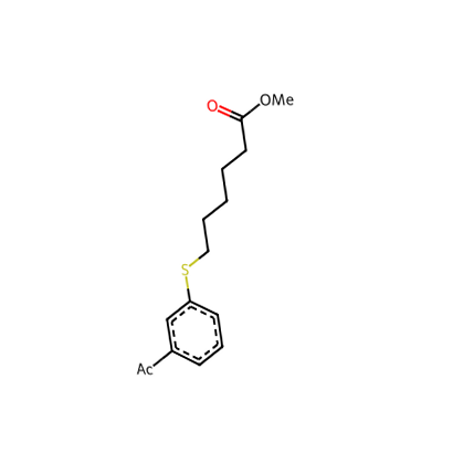 COC(=O)CCCCCSc1cccc(C(C)=O)c1